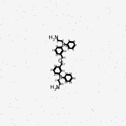 NCCB(c1ccccc1)c1cccc(COCc2cccc(B(CCN)c3ccccc3)c2)c1